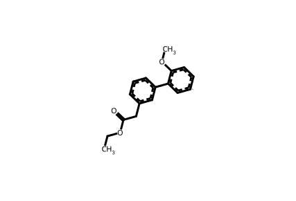 CCOC(=O)Cc1cccc(-c2c[c]ccc2OC)c1